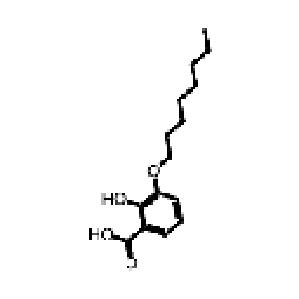 CCCCCCCCOc1cccc(C(=O)O)c1O